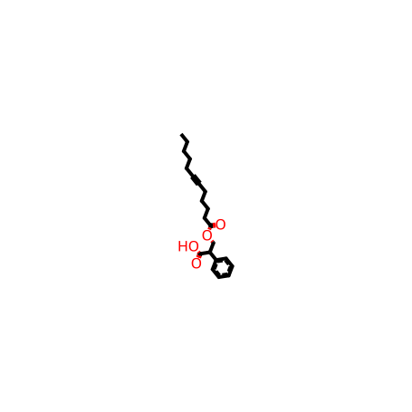 CCCCCC#CCCCCC(=O)OCC(C(=O)O)c1ccccc1